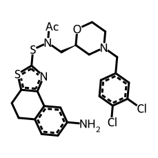 CC(=O)N(C[C@@H]1CN(Cc2ccc(Cl)c(Cl)c2)CCO1)Sc1nc2c(s1)CCc1ccc(N)cc1-2